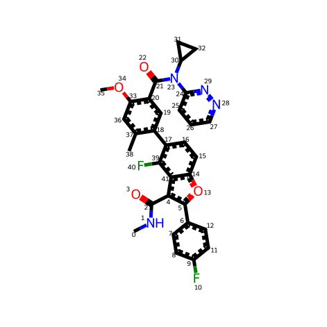 CNC(=O)c1c(-c2ccc(F)cc2)oc2ccc(-c3cc(C(=O)N(c4cccnn4)C4CC4)c(OC)cc3C)c(F)c12